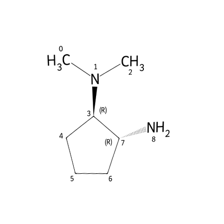 CN(C)[C@@H]1CCC[C@H]1N